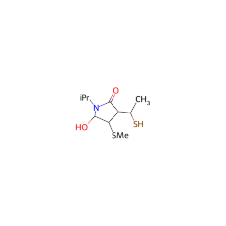 CSC1C(C(C)S)C(=O)N(C(C)C)C1O